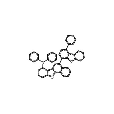 c1ccc(-c2ccc(-c3cc4c(oc5cccc(N(c6ccccc6)c6ccccc6)c54)c4ccccc34)c3sc4ccccc4c23)cc1